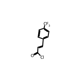 O=C(Cl)C=Cc1ccc(C(F)(F)F)cc1